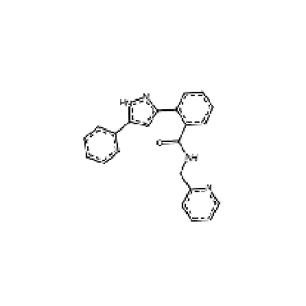 O=C(NCc1ccccn1)c1ccccc1-c1cc(-c2ccccc2)[nH]n1